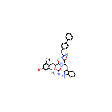 Cc1cc(O)cc(C)c1CC(OC(N)=O)C(=O)NC(Cc1c[nH]c2ccccc12)c1nc(Cc2ccc(-c3ccccc3)cc2)no1